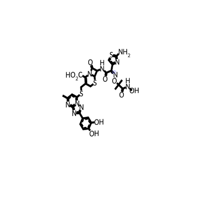 Cc1cc(SCC2=C(C(=O)O)N3C(=O)C(NC(=O)/C(=N\OC(C)(C)C(=O)NO)c4csc(N)n4)C3SC2)n2nc(-c3ccc(O)c(O)c3)nc2n1